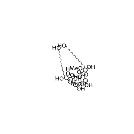 COc1cc(-c2oc3cc(O)c(CCCCCCCCCCCCCO)c(OC)c3c(=O)c2O)ccc1O.O=c1c(O)c(-c2ccc(O)c(O)c2)oc2cc(O)c(CCCCCCCCCCCCCO)c(O)c12